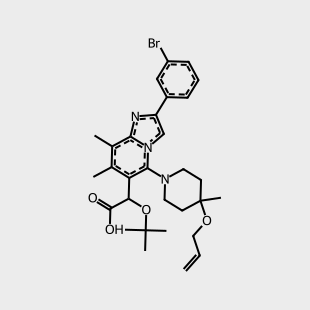 C=CCOC1(C)CCN(c2c(C(OC(C)(C)C)C(=O)O)c(C)c(C)c3nc(-c4cccc(Br)c4)cn23)CC1